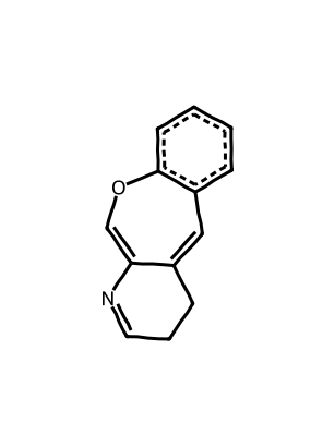 C1=NC2=COc3ccccc3C=C2CC1